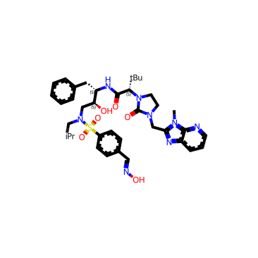 CC(C)CN(C[C@H](O)[C@H](Cc1ccccc1)NC(=O)[C@@H](N1CCN(Cc2nc3cccnc3n2C)C1=O)C(C)(C)C)S(=O)(=O)c1ccc(C=NO)cc1